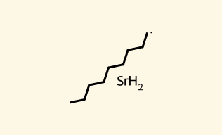 [CH2]CCCCCCCC.[SrH2]